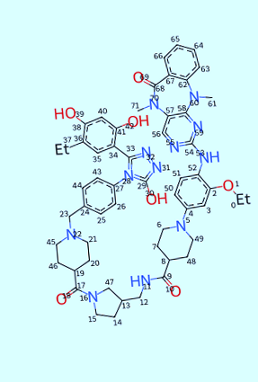 CCOc1cc(N2CCC(C(=O)NCC3CCN(C(=O)C4CCN(Cc5ccc(-n6c(O)nnc6-c6cc(CC)c(O)cc6O)cc5)CC4)C3)CC2)ccc1Nc1ncc2c(n1)N(C)c1ccccc1C(=O)N2C